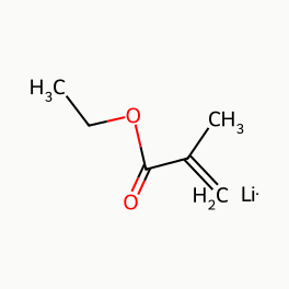 C=C(C)C(=O)OCC.[Li]